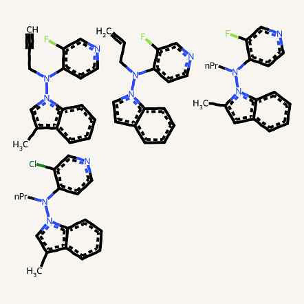 C#CCN(c1ccncc1F)n1cc(C)c2ccccc21.C=CCN(c1ccncc1F)n1ccc2ccccc21.CCCN(c1ccncc1Cl)n1cc(C)c2ccccc21.CCCN(c1ccncc1F)n1c(C)cc2ccccc21